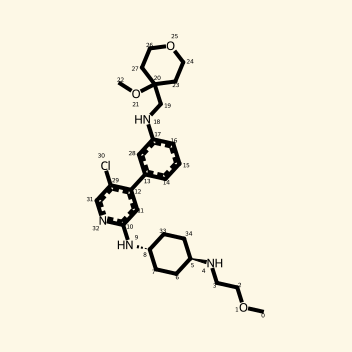 COCCN[C@H]1CC[C@H](Nc2cc(-c3cccc(NCC4(OC)CCOCC4)c3)c(Cl)cn2)CC1